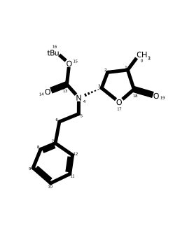 CC1C[C@@H](N(CCc2ccccc2)C(=O)OC(C)(C)C)OC1=O